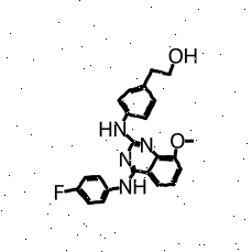 COc1cccc2c(Nc3ccc(F)cc3)nc(Nc3ccc(CCO)cc3)nc12